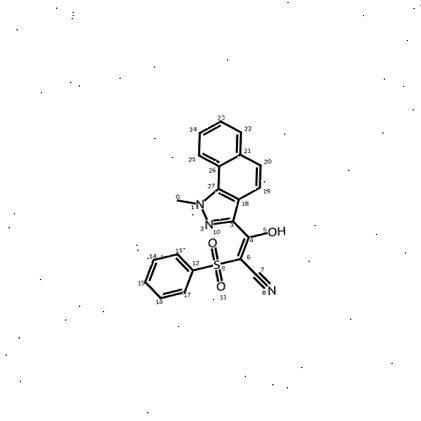 Cn1nc(/C(O)=C(/C#N)S(=O)(=O)c2ccccc2)c2ccc3ccccc3c21